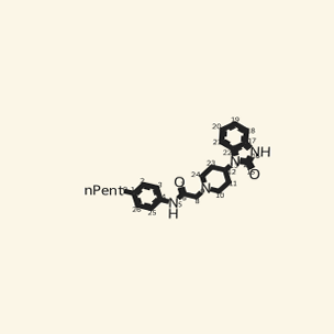 CCCCCc1ccc(NC(=O)CN2CCC(n3c(=O)[nH]c4ccccc43)CC2)cc1